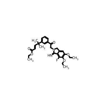 CCOC(=O)C=CC(C)(C)c1cccc(C(=O)CN2Cc3cc(OCC)c(OCC)c(F)c3C2=N)c1